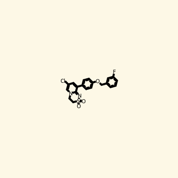 O=S1(=O)CCN2C=C(Cl)C=C(c3ccc(OCc4cccc(F)c4)cc3)C2=N1